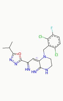 CC(C)c1nnc(C(=N)/C=C2\C(=N)NCCN2Cc2c(Cl)ccc(F)c2Cl)o1